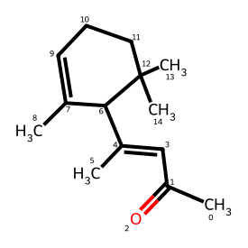 CC(=O)C=C(C)C1C(C)=CCCC1(C)C